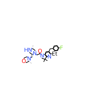 CCc1nc2c(cc1Cc1ccc(F)cc1)N(C(=O)CN1C[C@@H](C)NC[C@@H]1CN1CCOC[C@H]1C)CC2(C)C